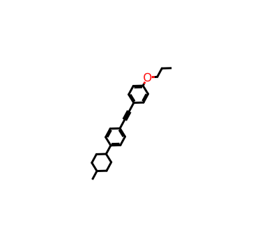 CCCOc1ccc(C#Cc2ccc(C3CCC(C)CC3)cc2)cc1